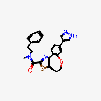 CN(CCc1ccccc1)C(=O)c1nc2c(s1)CCOc1cc(-c3cn[nH]c3)ccc1-2